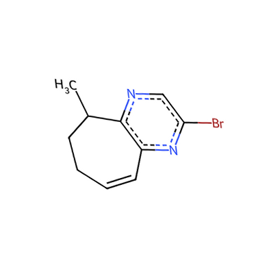 CC1CCC=Cc2nc(Br)cnc21